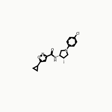 C[C@H]1CN(c2ccc(Cl)cc2)C[C@H]1NC(=O)c1cc(C2CC2)on1